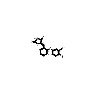 O=C1NC(=O)/C(=C/c2ccccc2Oc2ccc(Br)c(F)c2)S1